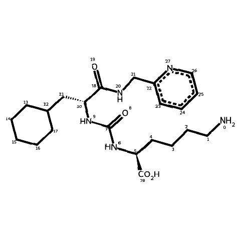 NCCCC[C@H](NC(=O)N[C@H](CC1CCCCC1)C(=O)NCc1ccccn1)C(=O)O